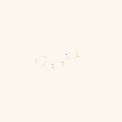 C=C(CC(=O)[C@@H](N)CC(=O)O)c1ccccc1